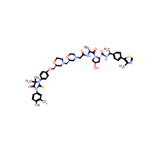 Cc1ncsc1-c1ccc([C@H](C)NC(=O)[C@@H]2C[C@@H](O)CN2C(=O)[C@@H](NC(=O)CN2CCO[C@H](CN3CCO[C@H](COc4ccc(N5C(=S)N(c6ccc(C#N)c(C(F)(F)F)c6)C(=O)C5(C)C)cc4)C3)C2)C(C)(C)C)cc1